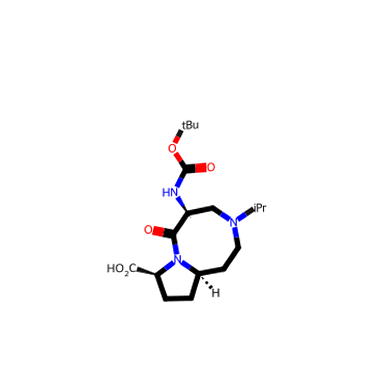 CC(C)N1CC[C@H]2CC[C@@H](C(=O)O)N2C(=O)[C@@H](NC(=O)OC(C)(C)C)C1